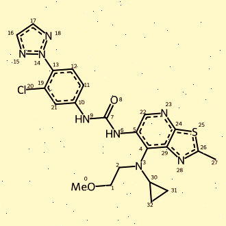 COCCN(c1c(NC(=O)Nc2ccc(-n3nccn3)c(Cl)c2)cnc2sc(C)nc12)C1CC1